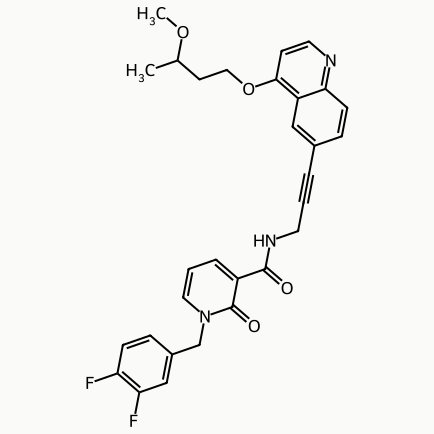 COC(C)CCOc1ccnc2ccc(C#CCNC(=O)c3cccn(Cc4ccc(F)c(F)c4)c3=O)cc12